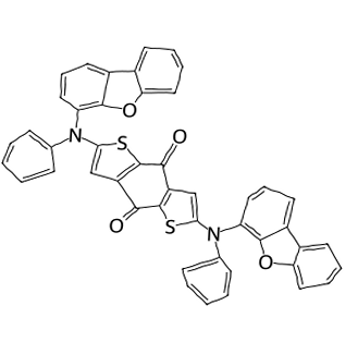 O=C1c2cc(N(c3ccccc3)c3cccc4c3oc3ccccc34)sc2C(=O)c2cc(N(c3ccccc3)c3cccc4c3oc3ccccc34)sc21